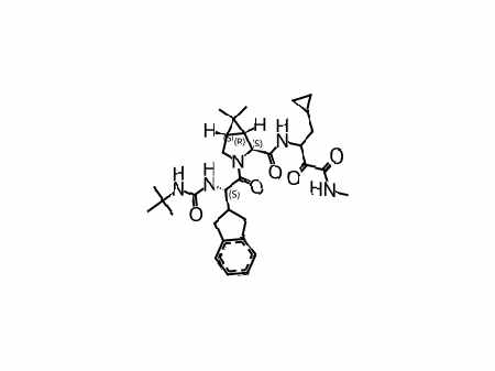 CNC(=O)C(=O)C(CC1CC1)NC(=O)[C@@H]1[C@@H]2[C@H](CN1C(=O)[C@@H](NC(=O)NC(C)(C)C)C1Cc3ccccc3C1)C2(C)C